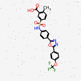 Cc1ccc(S(=O)(=O)Nc2ccc(-c3nnc(-c4ccc(OC(F)(F)F)cc4)o3)cc2)cc1C(=O)O